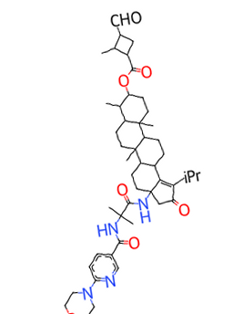 CC(C)C1=C2C3CCC4C(C)(CCC5C(C)C(OC(=O)C6CC(C=O)C6C)CCC54C)C3CCC2(NC(=O)C(C)(C)NC(=O)c2ccc(N3CCOCC3)nc2)CC1=O